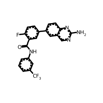 Nc1ncc2cc(-c3ccc(F)c(C(=O)Nc4cccc(C(F)(F)F)c4)c3)ccc2n1